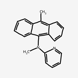 Cc1c2ccccc2c(N(C)c2ccccn2)c2ccccc12